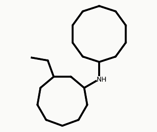 CCC1CCCCCCC(NC2CCCCCCCCC2)C1